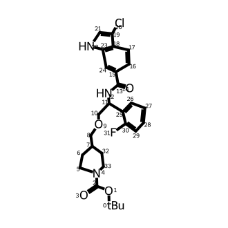 CC(C)(C)OC(=O)N1CCC(COCC(NC(=O)c2ccc3c(Cl)c[nH]c3c2)c2ccccc2F)CC1